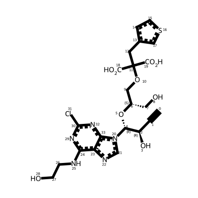 C#C[C@@H](O)[C@@H](O[C@@H](CO)COC(Cc1ccsc1)(C(=O)O)C(=O)O)n1cnc2c(NCCO)nc(Cl)nc21